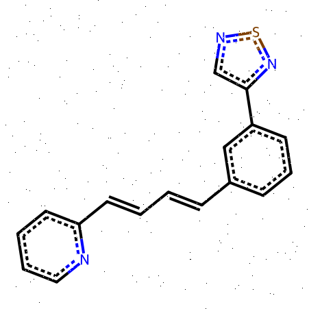 C(C=Cc1ccccn1)=Cc1cccc(-c2cnsn2)c1